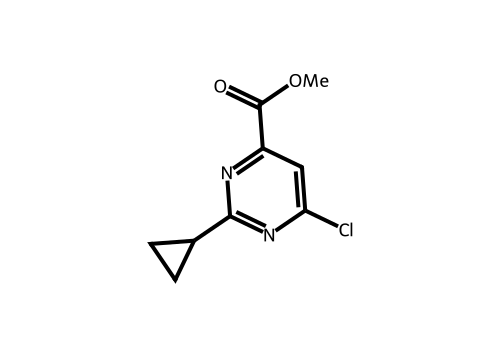 COC(=O)c1cc(Cl)nc(C2CC2)n1